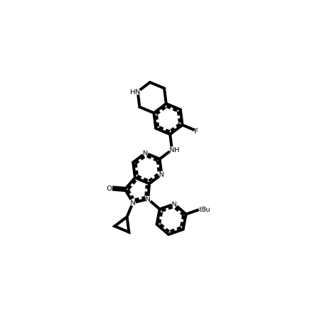 CC(C)(C)c1cccc(-n2c3nc(Nc4cc5c(cc4F)CCNC5)ncc3c(=O)n2C2CC2)n1